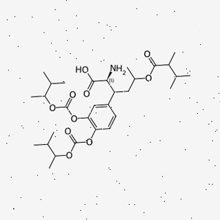 CC(CC(c1ccc(OC(=O)OC(C)C(C)C)c(OC(=O)OC(C)C(C)C)c1)[C@H](N)C(=O)O)OC(=O)C(C)C(C)C